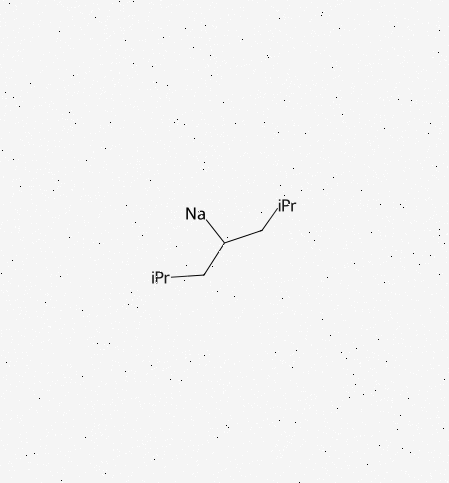 CC(C)C[CH]([Na])CC(C)C